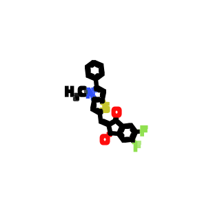 Cn1c(-c2ccccc2)cc2sc(C=C3C(=O)c4cc(F)c(F)cc4C3=O)cc21